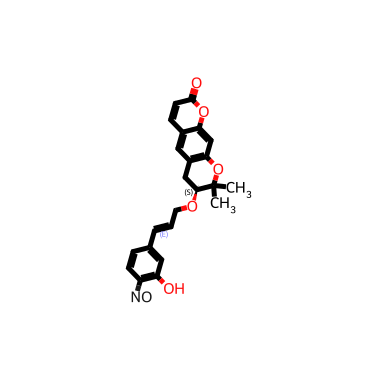 CC1(C)Oc2cc3oc(=O)ccc3cc2C[C@@H]1OC/C=C/c1ccc(N=O)c(O)c1